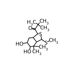 CSC1SC(C(=O)C(C)(C)C)C2CC(O)C(O)C(C)(C)C12